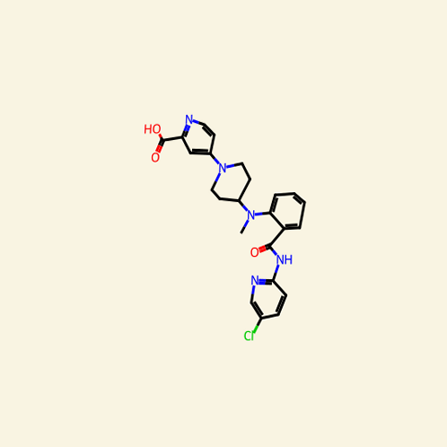 CN(c1ccccc1C(=O)Nc1ccc(Cl)cn1)C1CCN(c2ccnc(C(=O)O)c2)CC1